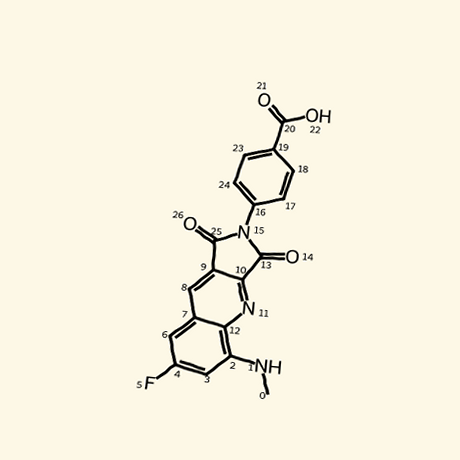 CNc1cc(F)cc2cc3c(nc12)C(=O)N(c1ccc(C(=O)O)cc1)C3=O